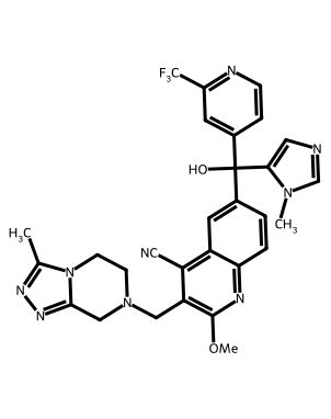 COc1nc2ccc(C(O)(c3ccnc(C(F)(F)F)c3)c3cncn3C)cc2c(C#N)c1CN1CCn2c(C)nnc2C1